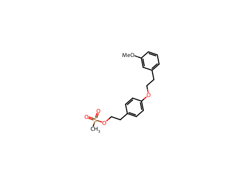 COc1cccc(CCOc2ccc(CCOS(C)(=O)=O)cc2)c1